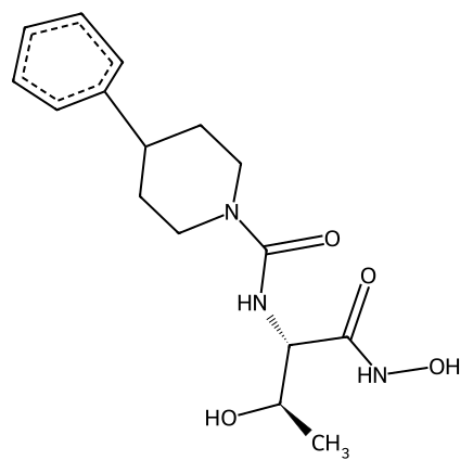 C[C@@H](O)[C@H](NC(=O)N1CCC(c2ccccc2)CC1)C(=O)NO